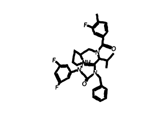 Cc1ccc(C(=O)N(CC2CCCN2)C(c2nn(-c3cc(F)cc(F)c3)c(=O)n2Cc2ccccc2)C(C)C)cc1F